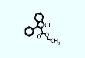 CCOC(=O)c1[nH]c2ccccc2c1-c1ccccc1